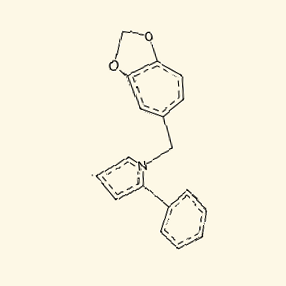 [c]1cc(-c2ccccc2)n(Cc2ccc3c(c2)OCO3)c1